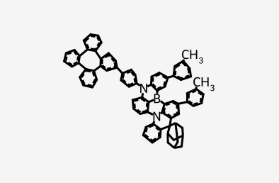 Cc1cccc(-c2ccc3c(c2)B2c4cc(-c5cccc(C)c5)cc5c4N(c4ccccc4C54C5CC6CC(C5)CC4C6)c4cccc(c42)N3c2ccc(-c3ccc4c(c3)-c3ccccc3-c3ccccc3-c3ccccc3-4)cc2)c1